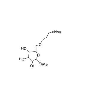 CCCCCCCCCCCCOCC1OC(OC)C(O)C(O)C1O